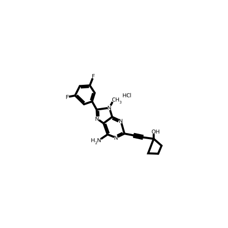 Cl.Cn1c(-c2cc(F)cc(F)c2)nc2c(N)nc(C#CC3(O)CCC3)nc21